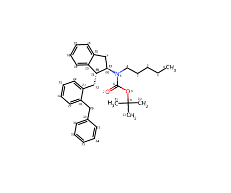 CCCCCN(C(=O)OC(C)(C)C)[C@@H]1Cc2ccccc2[C@H]1Cc1ccccc1Cc1ccccc1